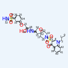 CCCn1cc(S(=O)(=O)N2CCC3(CC2)C[C@@H](NC[C@H](O)COc2cccc(S(=O)(=O)NC)c2)CO3)c(=O)c2ccccc21